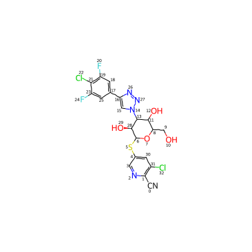 N#Cc1ncc(SC2OC(CO)C(O)C(n3cc(-c4cc(F)c(Cl)c(F)c4)nn3)[C@@H]2O)cc1Cl